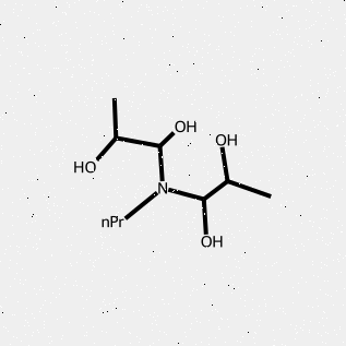 [CH2]CCN(C(O)C(C)O)C(O)C(C)O